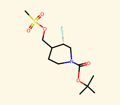 CC(C)(C)OC(=O)N1CCC(COS(C)(=O)=O)[C@H](F)C1